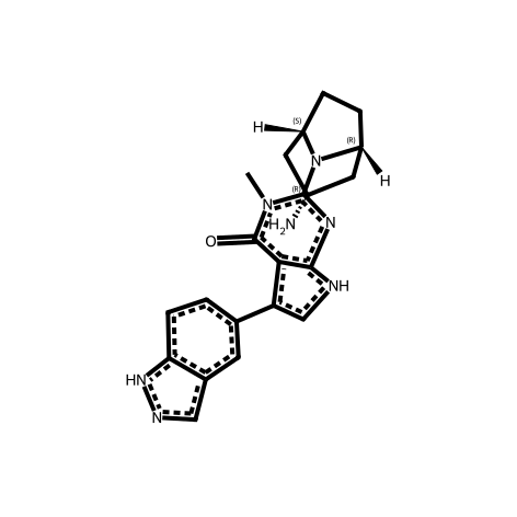 Cn1c(N2[C@@H]3CC[C@H]2C[C@@H](N)C3)nc2[nH]cc(-c3ccc4[nH]ncc4c3)c2c1=O